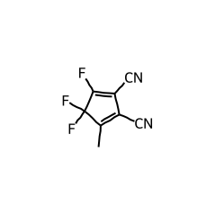 CC1=C(C#N)C(C#N)=C(F)C1(F)F